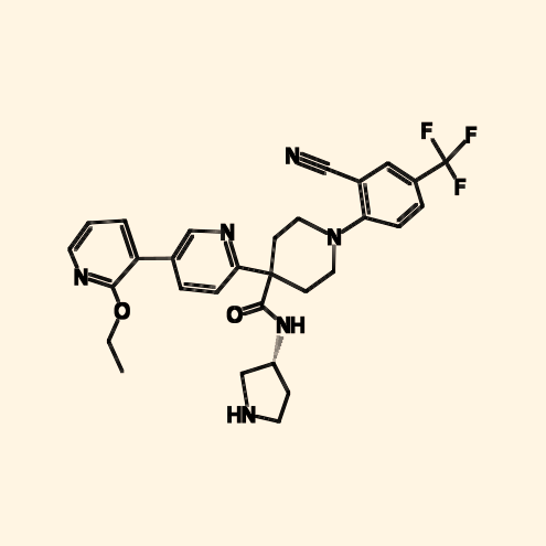 CCOc1ncccc1-c1ccc(C2(C(=O)N[C@@H]3CCNC3)CCN(c3ccc(C(F)(F)F)cc3C#N)CC2)nc1